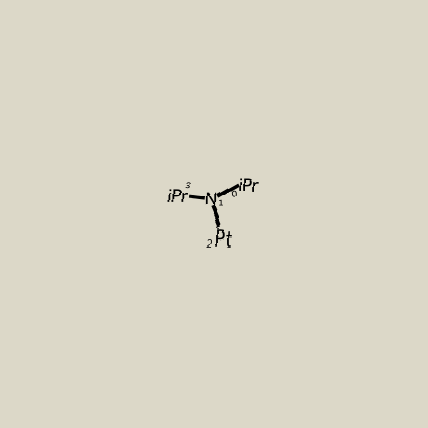 CC(C)[N]([Pt])C(C)C